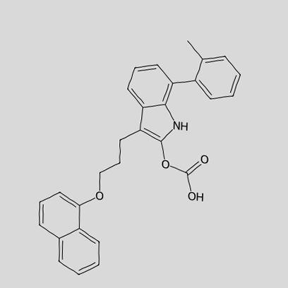 Cc1ccccc1-c1cccc2c(CCCOc3cccc4ccccc34)c(OC(=O)O)[nH]c12